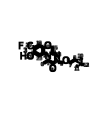 CC1C(=O)N(COCC[Si](C)(C)C)N=C2COc3cc(C(F)(F)F)c(O)cc3N21